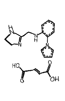 O=C(O)/C=C/C(=O)O.c1ccc(-n2cccc2)c(NCC2=NCCN2)c1